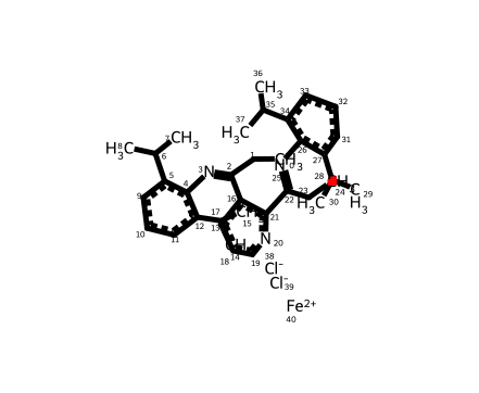 CCC(=Nc1c(C(C)C)cccc1C(C)C)c1cccnc1C(CC)=Nc1c(C(C)C)cccc1C(C)C.[Cl-].[Cl-].[Fe+2]